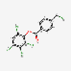 O=C(Oc1c(Cl)cc(Cl)c(Cl)c1Cl)c1ccc(CCl)cc1